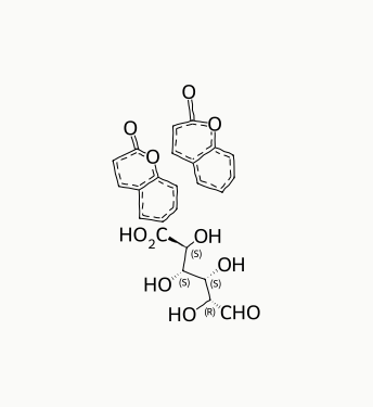 O=C[C@H](O)[C@@H](O)[C@H](O)[C@H](O)C(=O)O.O=c1ccc2ccccc2o1.O=c1ccc2ccccc2o1